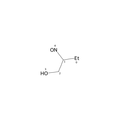 CCC(CO)N=O